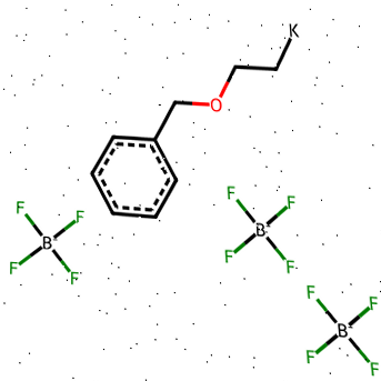 F[B-](F)(F)F.F[B-](F)(F)F.F[B-](F)(F)F.[K][CH2]COCc1ccccc1